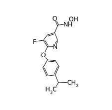 CC(C)c1ccc(Oc2ncc(C(=O)NO)cc2F)cc1